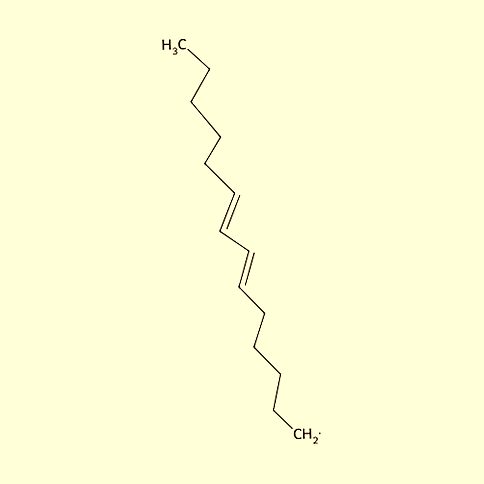 [CH2]CCCC/C=C/C=C/CCCCC